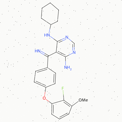 COc1cccc(Oc2ccc(C(=N)c3c(N)ncnc3NC3CCCCC3)cc2)c1F